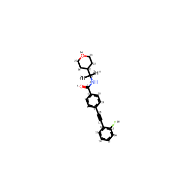 [2H]C([2H])(NC(=O)c1ccc(C#Cc2ccccc2F)cc1)C1CCOCC1